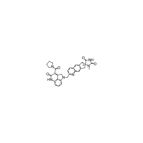 CN1C(=O)NC(=O)[C@]12Cc1cc3ccc(CN4CC5(CC(=O)N6CCCC6)CC(=O)Nc6cccc4c65)nc3cc1C2